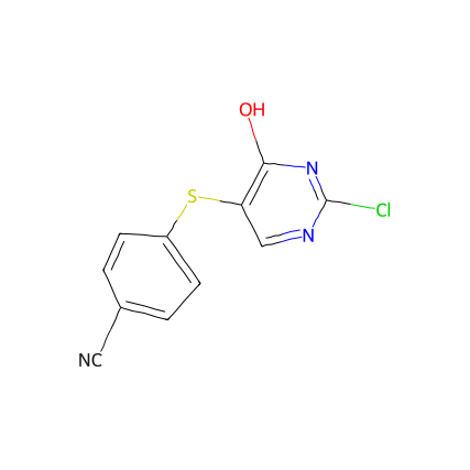 N#Cc1ccc(Sc2cnc(Cl)nc2O)cc1